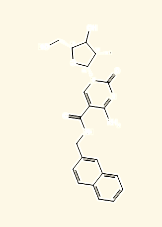 C[C@H]1C(O)[C@@H](CO)O[C@H]1n1cc(C(=O)NCc2ccc3ccccc3c2)c(N)nc1=O